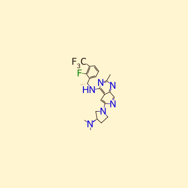 Cc1nc(N[C@H](C)c2cccc(C(F)(F)F)c2F)c2cc(N3CC[C@@H](N(C)C)C3)ncc2n1